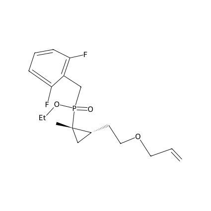 C=CCOCC[C@@H]1C[C@]1(C)P(=O)(Cc1c(F)cccc1F)OCC